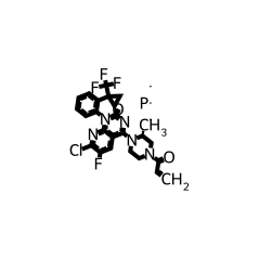 C=CC(=O)N1CCN(c2nc(=O)n(-c3ccccc3C3(C(F)(F)F)CC3)c3nc(Cl)c(F)cc23)[C@@H](C)C1.[P]